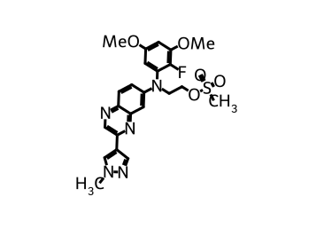 COc1cc(OC)c(F)c(N(CCOS(C)(=O)=O)c2ccc3ncc(-c4cnn(C)c4)nc3c2)c1